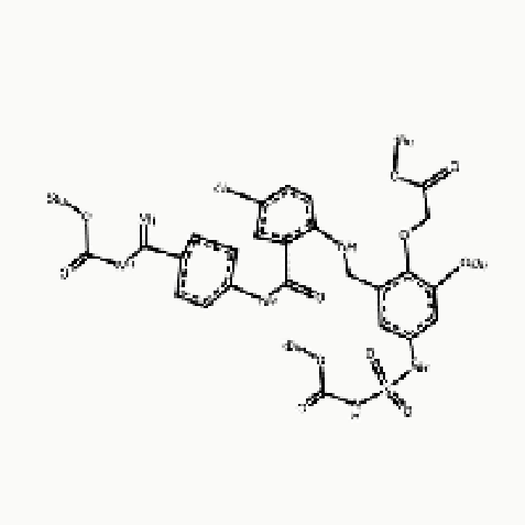 CC(C)COc1cc(NS(=O)(=O)NC(=O)OC(C)(C)C)cc(CNc2ccc(Cl)cc2C(=O)Nc2ccc(C(=N)NC(=O)OC(C)(C)C)cc2)c1OCC(=O)OC(C)(C)C